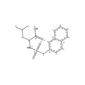 CC(C)CC(NS(=O)(=O)Cc1ccc2ccccc2c1)C(=O)O